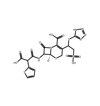 O=C(O)C1=C(C(CS(=O)(=O)O)Sc2nnn[nH]2)CS[C@H]2C(NC(=O)C(C(=O)O)c3cccs3)C(=O)N12